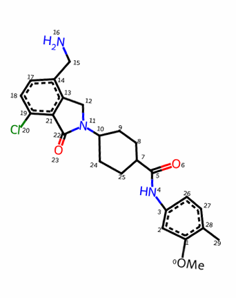 COc1cc(NC(=O)C2CCC(N3Cc4c(CN)ccc(Cl)c4C3=O)CC2)ccc1C